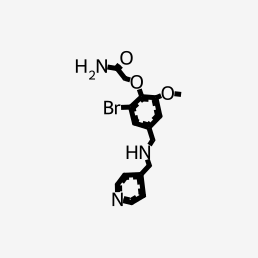 COc1cc(CNCc2ccncc2)cc(Br)c1OCC(N)=O